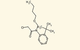 CCCCOCN(C(=O)CCl)c1ccccc1C(C)(C)C